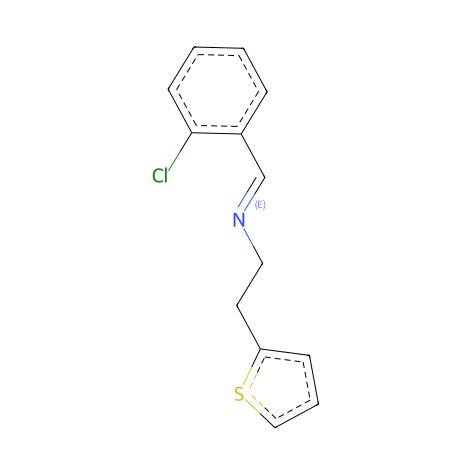 Clc1ccccc1/C=N/CCc1cccs1